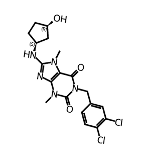 Cn1c(N[C@H]2CC[C@@H](O)C2)nc2c1c(=O)n(Cc1ccc(Cl)c(Cl)c1)c(=O)n2C